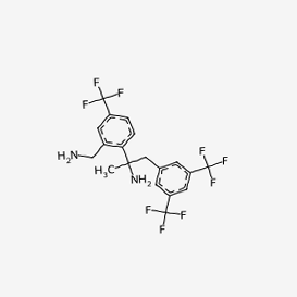 CC(N)(Cc1cc(C(F)(F)F)cc(C(F)(F)F)c1)c1ccc(C(F)(F)F)cc1CN